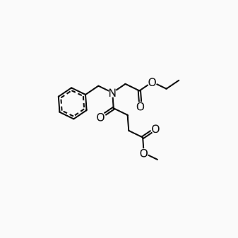 CCOC(=O)CN(Cc1ccccc1)C(=O)CCC(=O)OC